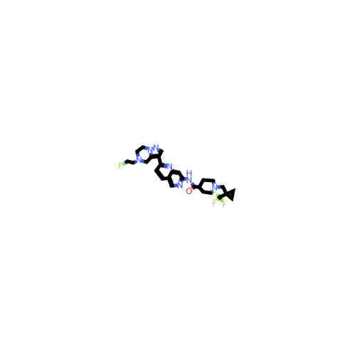 O=C(Nc1cc2nc(-c3cnn4c3CN(CCF)CC4)ccc2cn1)C1CCN(CC2(C(F)(F)F)CC2)CC1